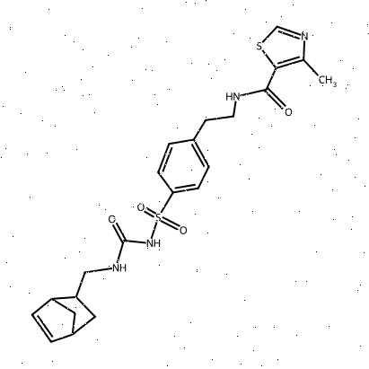 Cc1ncsc1C(=O)NCCc1ccc(S(=O)(=O)NC(=O)NCC2CC3C=CC2C3)cc1